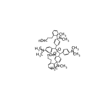 CCCCCCCCCCCCc1ccccc1C1(N(C)C)C=CC(C(c2ccc(N(C)C)cc2)S(=O)(=O)C(c2ccc(N(C)C)cc2)C2C=CC(c3ccccc3CCCCCCCCCCCC)(N(C)C)C=C2)C=C1